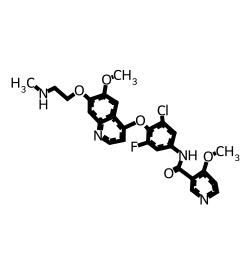 CNCCOc1cc2nccc(Oc3c(F)cc(NC(=O)c4cnccc4OC)cc3Cl)c2cc1OC